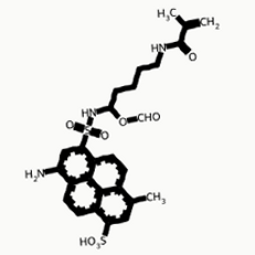 C=C(C)C(=O)NCCCCC(NS(=O)(=O)c1cc(N)c2ccc3c(S(=O)(=O)O)cc(C)c4ccc1c2c43)OC=O